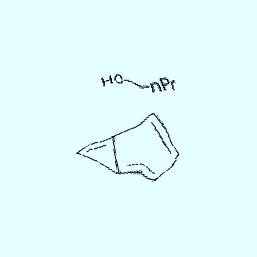 CCCO.c1cc2cc-2c1